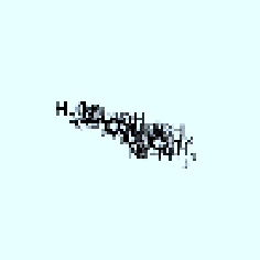 Cn1cnc(-c2ccc(-c3cc4nnn([C@H]5CC(C)(C)NC(C)(C)[C@H]5F)c4nn3)c(O)c2)cc1=O